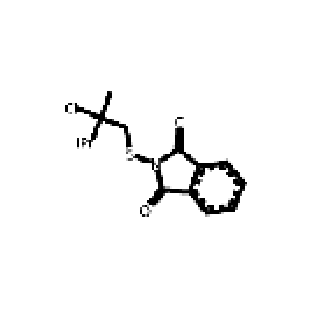 CC(C)C(C)(Cl)CSN1C(=O)c2ccccc2C1=O